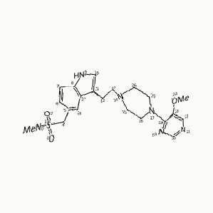 CNS(=O)(=O)Cc1ccc2[nH]cc(CCN3CCN(c4ncncc4OC)CC3)c2c1